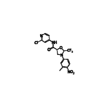 Cc1cc(N2CC(C(=O)Nc3ccnc(Cl)c3)OC2C(F)(F)F)ccc1[N+](=O)[O-]